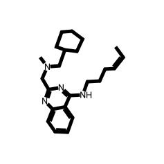 C/C=C\CCCNc1nc(CN(C)CC2CCCCC2)nc2ccccc12